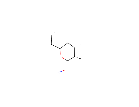 CC(=O)OCC1C[C@H](OC(C)=O)[C@@H](OC(C)=O)[C@H](ON)O1